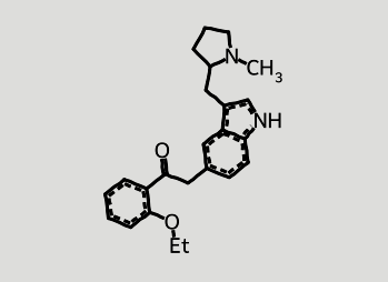 CCOc1ccccc1C(=O)Cc1ccc2[nH]cc(CC3CCCN3C)c2c1